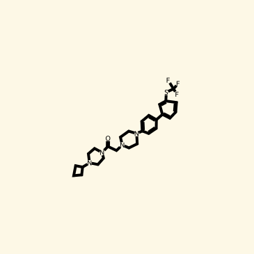 O=C(CN1CCN(c2ccc(-c3cccc(SC(F)(F)F)c3)cc2)CC1)N1CCN(C2CCC2)CC1